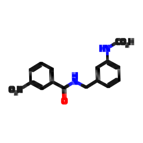 O=C(O)Nc1cccc(CNC(=O)c2cccc([N+](=O)[O-])c2)c1